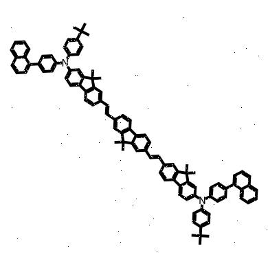 CC(C)(C)c1ccc(N(c2ccc(-c3cccc4ccccc34)cc2)c2ccc3c(c2)C(C)(C)c2cc(/C=C/c4ccc5c(c4)C(C)(C)c4cc(/C=C/c6ccc7c(c6)C(C)(C)c6cc(N(c8ccc(-c9cccc%10ccccc9%10)cc8)c8ccc(C(C)(C)C)cc8)ccc6-7)ccc4-5)ccc2-3)cc1